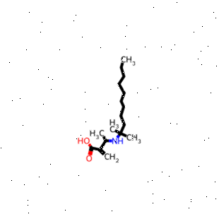 C=C(C(=O)O)C(C)NC(C)(C)CCCCCCCCC